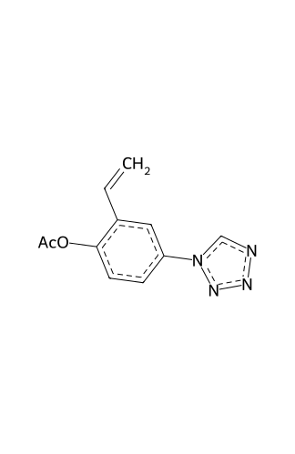 C=Cc1cc(-n2cnnn2)ccc1OC(C)=O